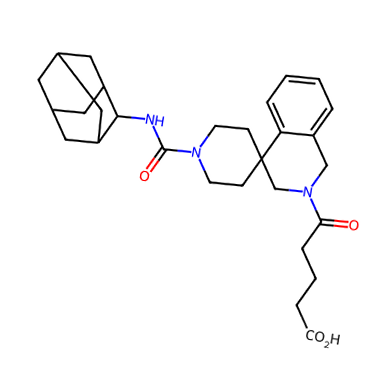 O=C(O)CCCC(=O)N1Cc2ccccc2C2(CCN(C(=O)NC3C4CC5CC(C4)CC3C5)CC2)C1